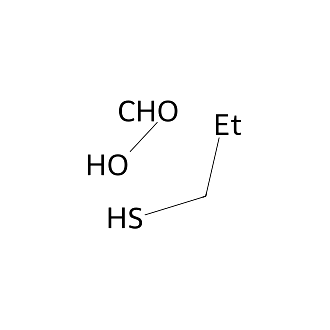 CCCS.O=CO